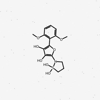 COc1cccc(OC)c1-c1oc(N2CCCS2(O)O)c(O)c1O